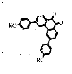 N#Cc1ccc(-c2ccc3c(c2)-c2cc(-c4ccc(C#N)cc4)ccc2C(=O)C3=O)cc1